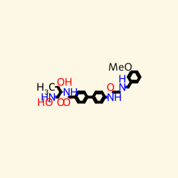 COc1cccc(CNCC(=O)Nc2ccc(-c3ccc(C(=O)N[C@H](C(=O)NO)[C@@H](C)O)cc3)cc2)c1